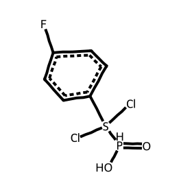 O=[PH](O)S(Cl)(Cl)c1ccc(F)cc1